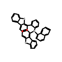 c1ccc(N(c2cccc3ccccc23)c2cccc3sc4ccccc4c23)c(-c2cccc3c2sc2ccccc23)c1